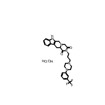 Cl.Cl.O=C1CN2Cc3[nH]c4ccccc4c3CC2C(=O)N1CCCN1CCN(c2cccc(C(F)(F)F)c2)CC1